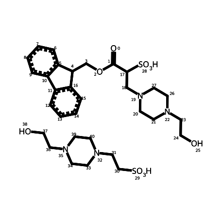 O=C(OCC1c2ccccc2-c2ccccc21)C(CN1CCN(CCO)CC1)S(=O)(=O)O.O=S(=O)(O)CCN1CCN(CCO)CC1